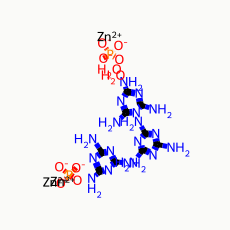 Nc1nc(N)nc(N)n1.Nc1nc(N)nc(N)n1.Nc1nc(N)nc(N)n1.O.O.O=P([O-])([O-])[O-].O=P([O-])([O-])[O-].[Zn+2].[Zn+2].[Zn+2]